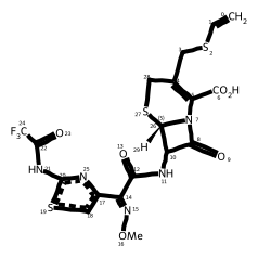 C=CSCC1=C(C(=O)O)N2C(=O)C(NC(=O)C(=NOC)c3csc(NC(=O)C(F)(F)F)n3)[C@@H]2SC1